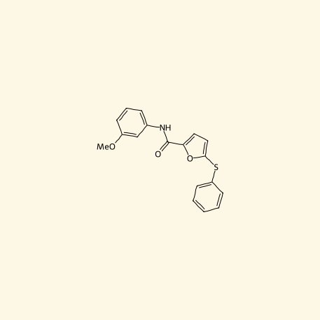 COc1cccc(NC(=O)c2ccc(Sc3ccccc3)o2)c1